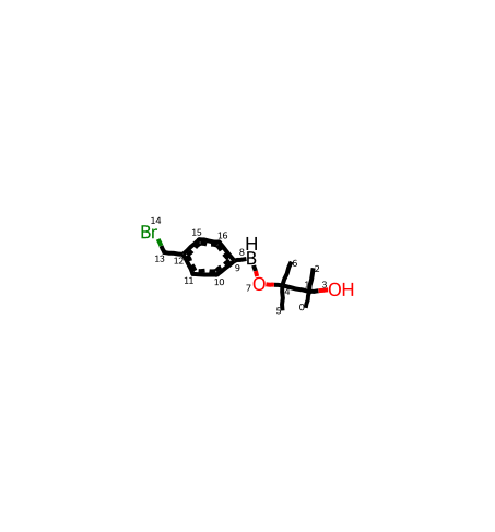 CC(C)(O)C(C)(C)OBc1ccc(CBr)cc1